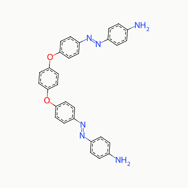 Nc1ccc(N=Nc2ccc(Oc3ccc(Oc4ccc(N=Nc5ccc(N)cc5)cc4)cc3)cc2)cc1